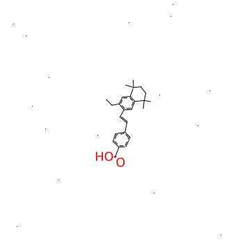 CCc1cc2c(cc1/C=C/c1ccc(C(=O)O)cc1)C(C)(C)CCC2(C)C